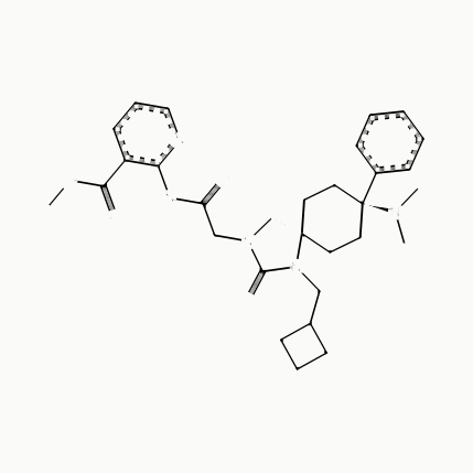 COC(=O)c1cccnc1NC(=O)CN1C[C@]2(CC[C@](c3ccccc3)(N(C)C)CC2)N(CC2CCC2)C1=O